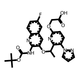 CC(Oc1cc2cc(F)ccc2nc1NC(=O)OC(C)(C)C)c1nc(OCC(=O)O)ccc1-n1cccn1